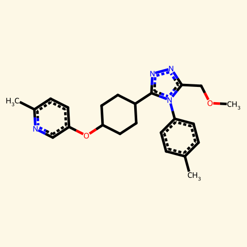 COCc1nnc(C2CCC(Oc3ccc(C)nc3)CC2)n1-c1ccc(C)cc1